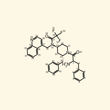 NC(Cc1ccccc1)C(=O)N1CC[C@H](N(Cc2ccnc3ccccc23)C(=O)C(F)(F)F)C[C@H]1Cc1ccccc1